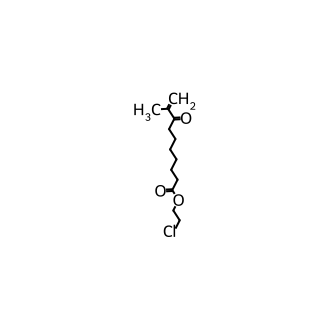 C=C(C)C(=O)CCCCCCC(=O)OCCCl